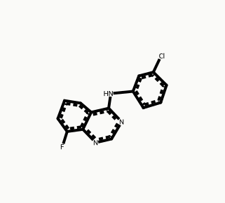 Fc1cccc2c(Nc3cccc(Cl)c3)ncnc12